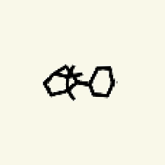 CC1(C)C2CCC1(C)C(C1CC[CH]CC1)C2